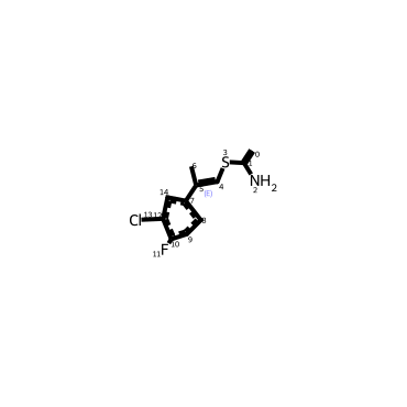 C=C(N)S/C=C(\C)c1ccc(F)c(Cl)c1